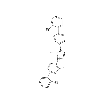 CCc1ccccc1-c1ccc(N2C=CN(c3ccc(-c4ccccc4CC)cc3C)C2C)cc1